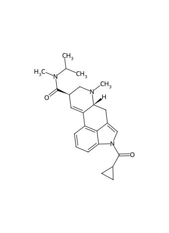 CC(C)N(C)C(=O)[C@@H]1C=C2c3cccc4c3c(cn4C(=O)C3CC3)C[C@H]2N(C)C1